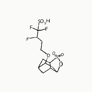 O=S1(=O)OC2C3CC(CC31)C2OCCC(F)C(F)(F)S(=O)(=O)O